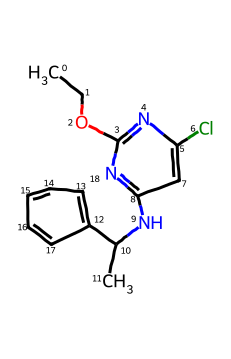 CCOc1nc(Cl)cc(NC(C)c2ccccc2)n1